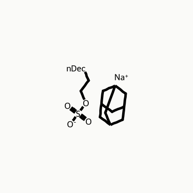 C1C2CC3CC1CC(C2)C3.CCCCCCCCCCCCOS(=O)(=O)[O-].[Na+]